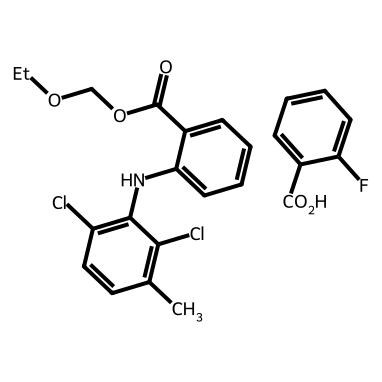 CCOCOC(=O)c1ccccc1Nc1c(Cl)ccc(C)c1Cl.O=C(O)c1ccccc1F